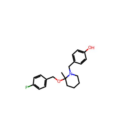 CC1(OCc2ccc(F)cc2)CCCCN1Cc1ccc(O)cc1